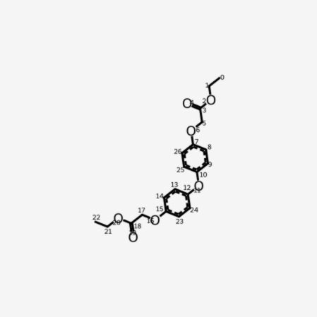 CCOC(=O)COc1ccc(Oc2ccc(OCC(=O)OCC)cc2)cc1